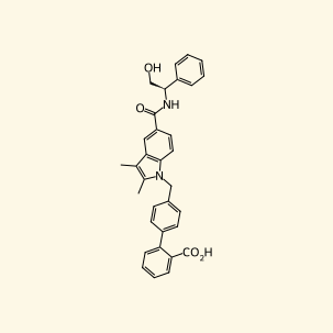 Cc1c(C)n(Cc2ccc(-c3ccccc3C(=O)O)cc2)c2ccc(C(=O)N[C@@H](CO)c3ccccc3)cc12